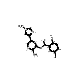 CC(Oc1nc(-c2cn(C)cn2)cnc1N)c1cc(F)ccc1Cl